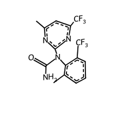 Cc1cc(C(F)(F)F)nc(N(C(N)=O)c2c(C)cccc2C(F)(F)F)n1